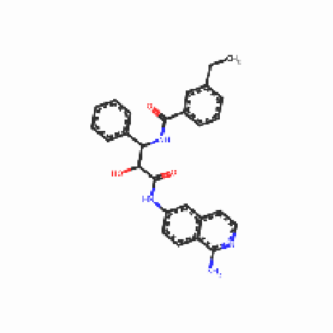 CCc1cccc(C(=O)NC(c2ccccc2)C(O)C(=O)Nc2ccc3c(N)nccc3c2)c1